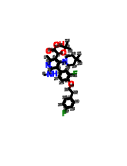 CNc1nc(C)c(C(OC(C)(C)C)C(=O)O)c(N2CCC(C)(C)CC2)c1-c1ccc(OCCc2ccc(F)cc2)c(F)c1